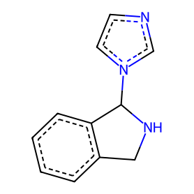 c1ccc2c(c1)CNC2n1ccnc1